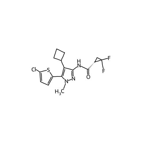 Cn1nc(NC(=O)[C@@H]2CC2(F)F)c(C2CCC2)c1-c1ccc(Cl)s1